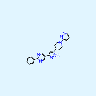 c1ccc(-c2ncc(-c3cc(C4CCN(c5cccnn5)CC4)[nH]n3)cn2)cc1